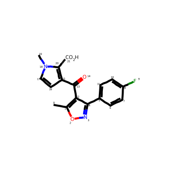 Cc1onc(-c2ccc(F)cc2)c1C(=O)c1ccn(C)c1C(=O)O